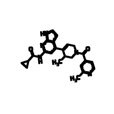 Cc1cc(C(=O)N2CC=C(c3cc(NC(=O)C4CC4)nc4[nH]ccc34)C(C)C2)ccn1